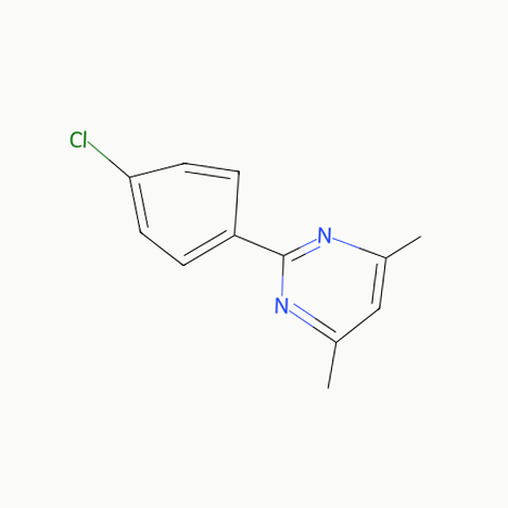 Cc1cc(C)nc(-c2ccc(Cl)cc2)n1